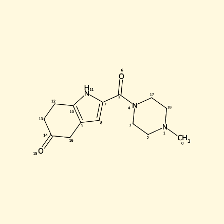 CN1CCN(C(=O)c2cc3c([nH]2)CCC(=O)C3)CC1